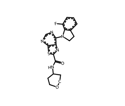 O=C(NC1CCOCC1)c1nc2c(N3CCc4cccc(F)c43)ncnc2s1